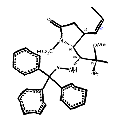 C/C=C\[C@@H]1CC(=O)N(C(=O)O)[C@H]1[C@@H](NSC(c1ccccc1)(c1ccccc1)c1ccccc1)[C@](C)(CCC)OC